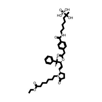 CCOC(=O)CCCCCCN1C(=O)CC[C@@H]1/C=C/[C@@H](OC(=O)Cc1ccc(C(=O)NCCCCCC(C)(O)P(=O)(O)O)cc1)C(F)(F)c1ccccc1